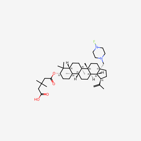 C=C(C)[C@@H]1CC[C@]2(CN3CCN(F)CC3)CC[C@]3(C)[C@H](CC[C@@H]4[C@@]5(C)CC[C@H](OC(=O)CC(C)(C)CC(=O)O)C(C)(C)[C@@H]5CC[C@]43C)[C@@H]12